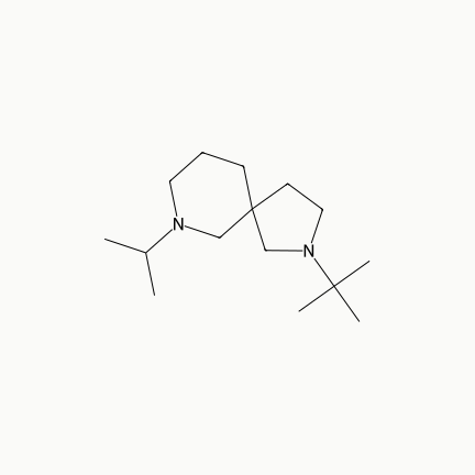 CC(C)N1CCCC2(CCN(C(C)(C)C)C2)C1